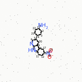 Nc1ccc(-c2cnc3[nH]c4ccc([N+](=O)[O-])cc4c3c2)cc1